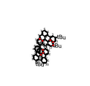 CC(C)(C)c1cc(-c2cccc3cccc(-c4ccccc4N(c4ccc5c(c4)C4(c6ccccc6-5)c5cc(C(C)(C)C)ccc5-c5ccc(C(C)(C)C)cc54)c4ccccc4-c4ccccc4)c23)cc(C(C)(C)C)c1